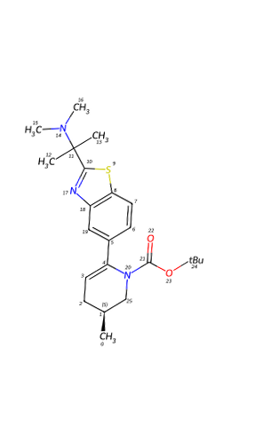 C[C@H]1CC=C(c2ccc3sc(C(C)(C)N(C)C)nc3c2)N(C(=O)OC(C)(C)C)C1